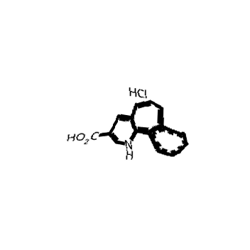 Cl.O=C(O)C1=CNC2=c3ccccc3=CC=CC2=C1